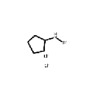 [Cl-].[Cl-].[Ti+2][NH]C1CCCC1